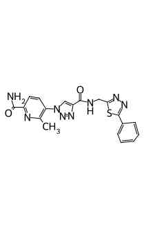 Cc1nc(C(N)=O)ccc1-n1cc(C(=O)NCc2nnc(-c3ccccc3)s2)nn1